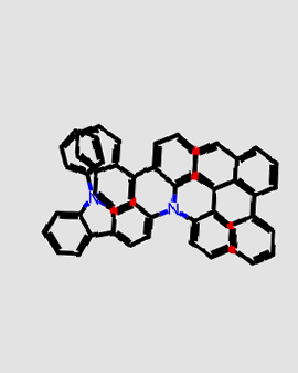 c1ccc(-c2cccc3cccc(-c4ccccc4N(c4ccc5c6ccccc6n(-c6ccccc6)c5c4)c4ccccc4-c4cccc5ccccc45)c23)cc1